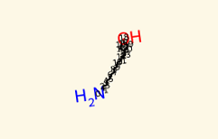 NCCCCCCCCCCCC=Cc1ccc(O)cc1